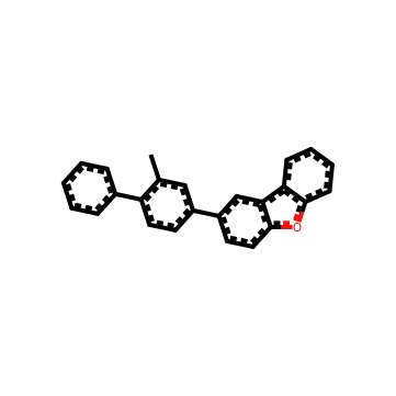 Cc1cc(-c2ccc3oc4ccccc4c3c2)ccc1-c1ccccc1